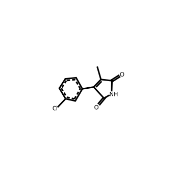 CC1=C(c2cccc(Cl)c2)C(=O)NC1=O